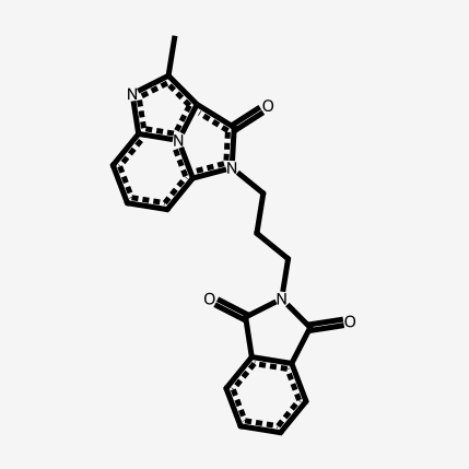 Cc1nc2cccc3n(CCCN4C(=O)c5ccccc5C4=O)c(=O)c1n23